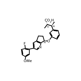 COc1ccc(F)c(-c2cnc3c(c2)CC[C@H]3Oc2cccc([C@H](C)[C@H](C)C(=O)O)c2)c1